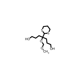 COCOC(CCCO)(CCCO)C1SCCCS1